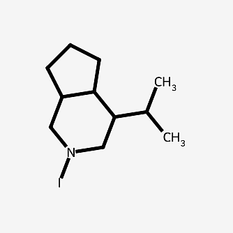 CC(C)C1CN(I)CC2CCCC21